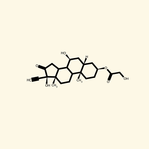 C#C[C@]1(O)C(=O)CC2C3C(CC[C@@]21C)[C@@]1(C)CC[C@H](OC(=O)CO)C[C@H]1C[C@@H]3O